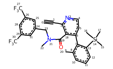 C#Cc1nccc(-c2c(C)cccc2[Si](C)(C)C)c1C(=O)N(C)Cc1cc(C(F)(F)F)cc(C(F)(F)F)c1